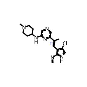 C=Nc1[nH]cc(Cl)c1/C=C(\C)c1cncc(NC2CCN(C)CC2)n1